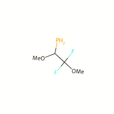 COC(P)C(F)(F)OC